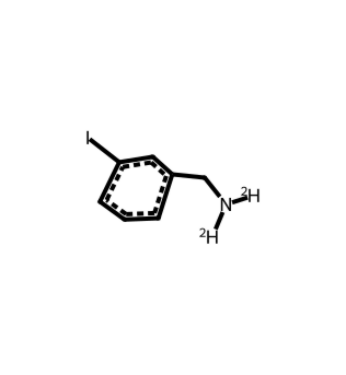 [2H]N([2H])Cc1cccc(I)c1